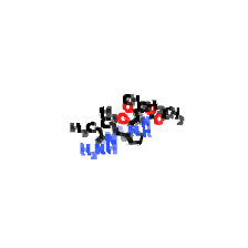 C/C=C(\N/C(=C\N)CC)[C@@H]1CCCN1C(=O)[C@@H](NC(=O)OC)[C@H](C)OC